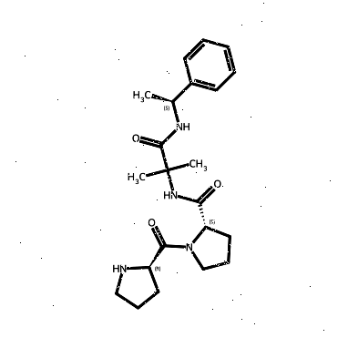 C[C@H](NC(=O)C(C)(C)NC(=O)[C@@H]1CCCN1C(=O)[C@H]1CCCN1)c1ccccc1